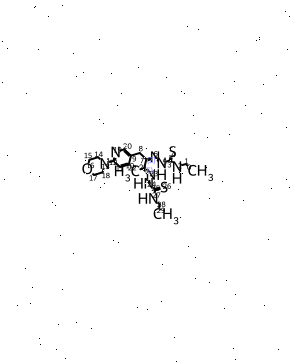 CCNC(=S)N/N=C(Cc1ccc(N2CCOCC2)nc1)\C(C)=N\NC(=S)NCC